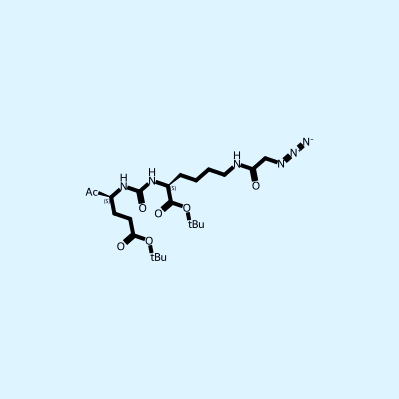 CC(=O)[C@H](CCC(=O)OC(C)(C)C)NC(=O)N[C@@H](CCCCNC(=O)CN=[N+]=[N-])C(=O)OC(C)(C)C